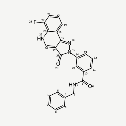 O=C(NCc1ccccc1)c1cccc(-n2nc3c4cccc(F)c4[nH]cc-3c2=O)c1